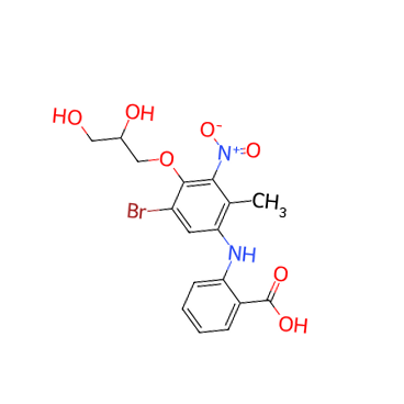 Cc1c(Nc2ccccc2C(=O)O)cc(Br)c(OCC(O)CO)c1[N+](=O)[O-]